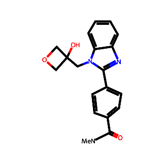 CNC(=O)c1ccc(-c2nc3ccccc3n2CC2(O)COC2)cc1